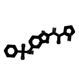 O=C(Nc1nc2ccc(NS(=O)(=O)c3ccccc3)cc2s1)c1ccc[nH]1